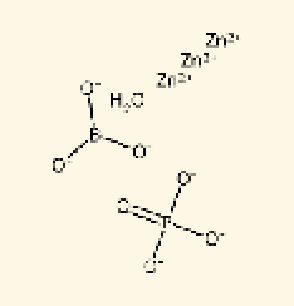 O.O=P([O-])([O-])[O-].[O-]B([O-])[O-].[Zn+2].[Zn+2].[Zn+2]